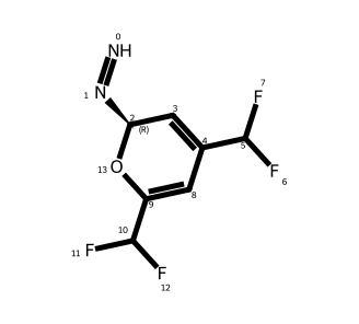 N=N[C@H]1C=C(C(F)F)C=C(C(F)F)O1